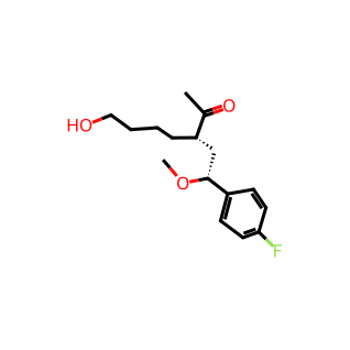 CO[C@H](C[C@H](CCCCO)C(C)=O)c1ccc(F)cc1